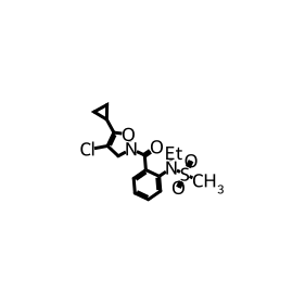 CCN(c1ccccc1C(=O)N1CC(Cl)=C(C2CC2)O1)S(C)(=O)=O